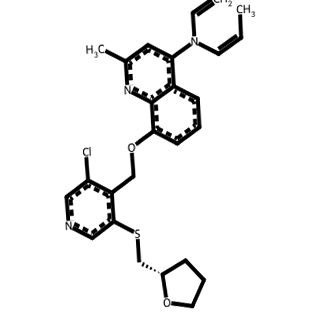 C=CN(/C=C\C)c1cc(C)nc2c(OCc3c(Cl)cncc3SC[C@@H]3CCCO3)cccc12